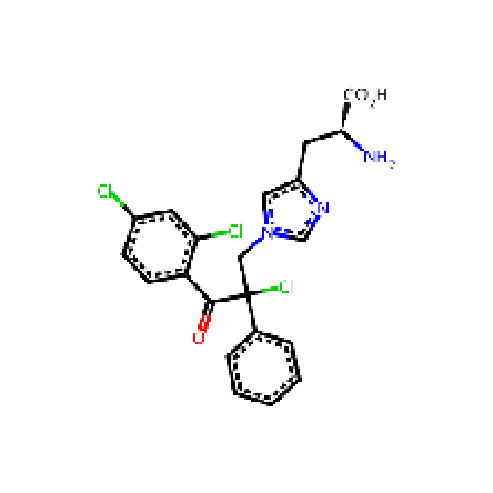 N[C@@H](Cc1cn(CC(Cl)(C(=O)c2ccc(Cl)cc2Cl)c2ccccc2)cn1)C(=O)O